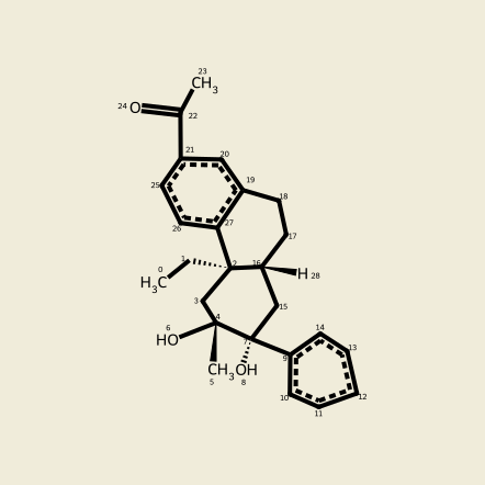 CC[C@@]12C[C@@](C)(O)[C@](O)(c3ccccc3)C[C@H]1CCc1cc(C(C)=O)ccc12